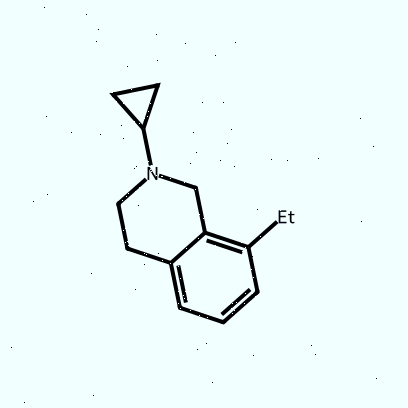 CCc1cccc2c1CN(C1CC1)CC2